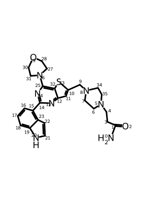 NC(=O)CCN1CCN(Cc2cc3nc(-c4cccc5[nH]ccc45)nc(N4CCOCC4)c3s2)CC1